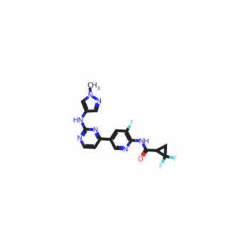 Cn1cc(Nc2nccc(-c3cnc(NC(=O)C4CC4(F)F)c(F)c3)n2)cn1